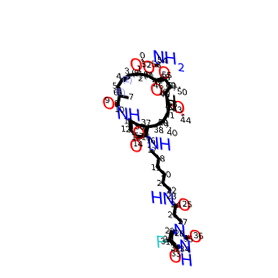 CO[C@H]1/C=C\C=C(/C)C(=O)NC2=CC(=O)C(NCCCCCCNC(=O)CCn3cc(F)c(=O)[nH]c3=O)=C(C[C@@H](C)C[C@H](OC)[C@H]3OC(=C[C@@H]3C)[C@@H]1OC(N)=O)C2=O